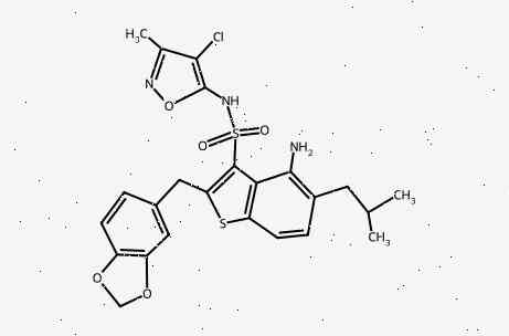 Cc1noc(NS(=O)(=O)c2c(Cc3ccc4c(c3)OCO4)sc3ccc(CC(C)C)c(N)c23)c1Cl